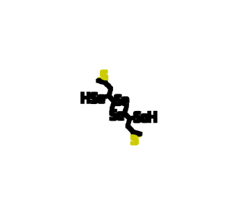 [SeH]C(CC1CS1)C1C[Se]C(C([SeH])CC2CS2)C[Se]1